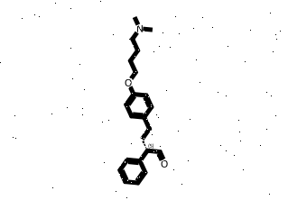 CN(C)CCCCOc1ccc(CC[C@H](C=O)c2ccccc2)cc1